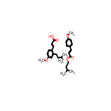 COc1ccc(/C=C/C(=O)O)c(CCC(C)C)c1.COc1ccc(C=CC(=O)OCCC(C)C)cc1